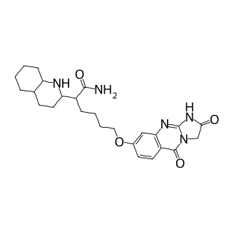 NC(=O)C(CCCCOc1ccc2c(=O)n3c(nc2c1)NC(=O)C3)C1CCC2CCCCC2N1